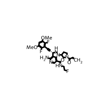 C=CC(=O)N1CCC(N2N[C@@H](C#Cc3c(F)c(OC)cc(OC)c3F)c3c(N)ncc(C(=O)NCCF)c32)C1